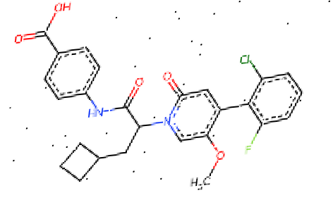 COc1cn(C(CC2CCC2)C(=O)Nc2ccc(C(=O)O)cc2)c(=O)cc1-c1c(F)cccc1Cl